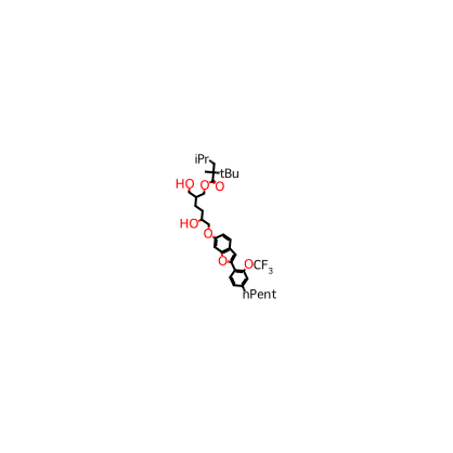 CCCCCc1ccc(-c2cc3ccc(OCC(O)CCC(CO)COC(=O)C(C)(CC(C)C)C(C)(C)C)cc3o2)c(OC(F)(F)F)c1